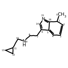 CC1C=CC=C2C(CCNCC3CC3)=CN=C21